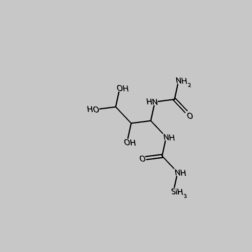 NC(=O)NC(NC(=O)N[SiH3])C(O)C(O)O